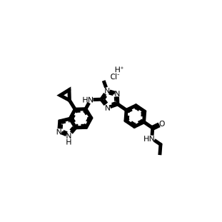 CCNC(=O)c1ccc(-c2nc(Nc3ccc4[nH]ncc4c3C3CC3)n(C)n2)cc1.[Cl-].[H+]